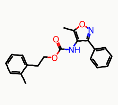 Cc1ccccc1CCOC(=O)Nc1c(-c2ccccc2)noc1C